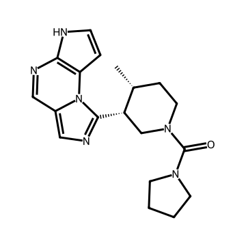 C[C@@H]1CCN(C(=O)N2CCCC2)C[C@@H]1c1ncc2cnc3[nH]ccc3n12